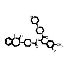 Cc1ccc(CC(OC(=O)N2CCC(N3CCc4ccccc4NC3=O)CC2)C(=O)N2CCN(C3CCNCC3)CC2)cc1Br